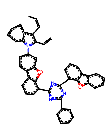 C=Cc1c(/C=C\C)c2ccccc2n1-c1ccc2c(c1)oc1c(-c3nc(-c4ccccc4)nc(-c4cccc5c4oc4ccccc45)n3)cccc12